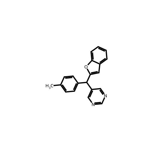 Cc1ccc(C(c2cncnc2)c2cc3ccccc3o2)cc1